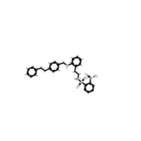 O=[N+]([O-])c1ccccc1S(=O)(=O)NCCc1ccccc1OCc1ccc(CCc2ccccc2)cc1